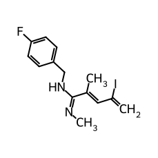 C=C(I)/C=C(C)/C(=N\C)NCc1ccc(F)cc1